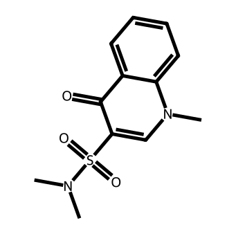 CN(C)S(=O)(=O)c1cn(C)c2ccccc2c1=O